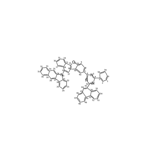 c1ccc(-c2nc(-c3ccc4oc5c6ccccc6c(-n6c7ccccc7c7cc8ccccc8cc76)cc5c4c3)nc(-c3cc4ccccc4c4ccccc34)n2)cc1